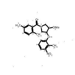 COC1CN(C(=O)c2cc(C)ccc2C)CC1Oc1cccc([N+](=O)[O-])c1C